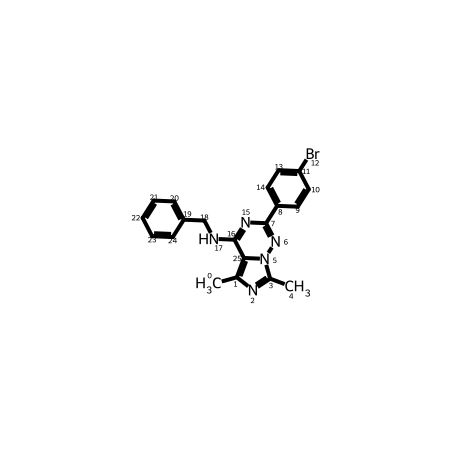 Cc1nc(C)n2nc(-c3ccc(Br)cc3)nc(NCc3ccccc3)c12